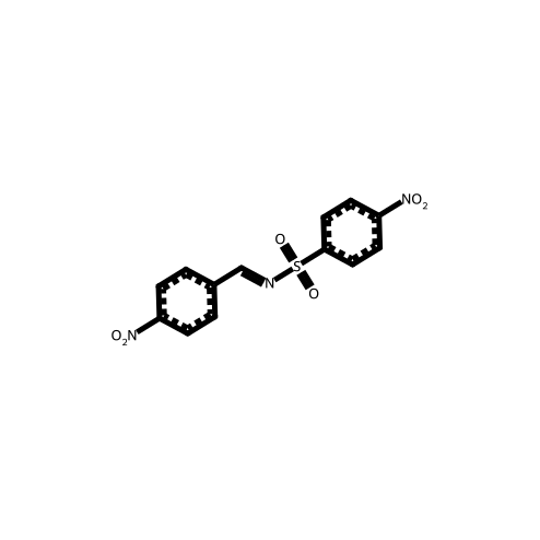 O=[N+]([O-])c1ccc(C=NS(=O)(=O)c2ccc([N+](=O)[O-])cc2)cc1